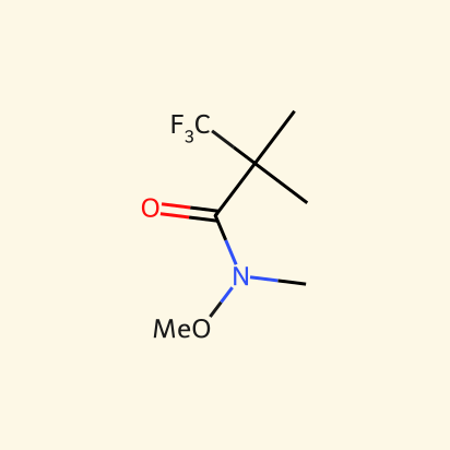 CON(C)C(=O)C(C)(C)C(F)(F)F